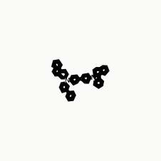 C1=c2ccc3ccccc3c2=CCC1N(c1ccc(-c2ccc(-n3c4ccccc4c4c5ccccc5ccc43)cc2)cc1)c1cccc(-c2ccccc2)c1